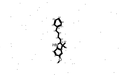 COc1ccc2c(c1)C(C)(C)C(CCCCc1ccccc1)N2